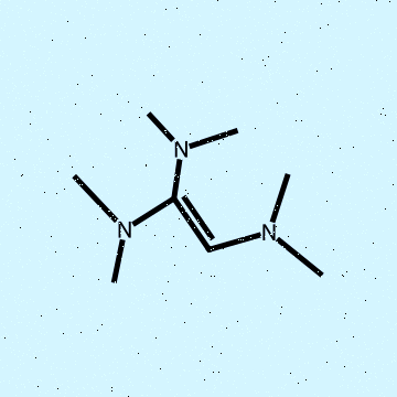 CN(C)C=C(N(C)C)N(C)C